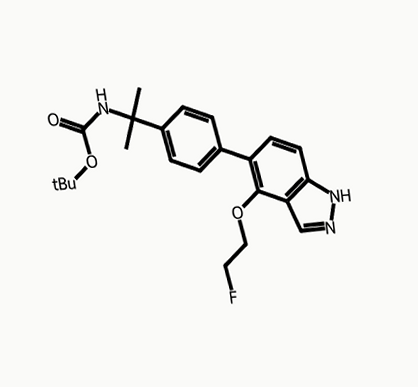 CC(C)(C)OC(=O)NC(C)(C)c1ccc(-c2ccc3[nH]ncc3c2OCCF)cc1